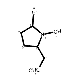 CCC1CCC(CC=O)N1O